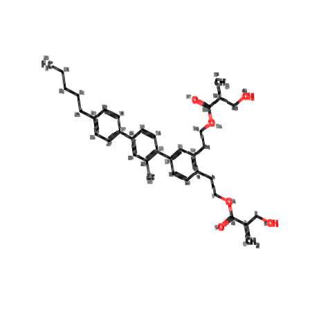 C=C(CO)C(=O)OCCc1ccc(-c2ccc(-c3ccc(CCCCC(F)(F)F)cc3)cc2CC)cc1CCOC(=O)C(C)CO